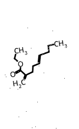 C=C(CCC=CCCC)C(=O)OCC